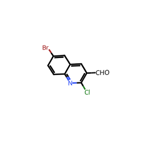 O=Cc1cc2cc(Br)ccc2nc1Cl